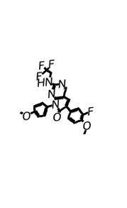 COc1ccc(-n2c(=O)c(-c3ccc(OC)c(F)c3)cc3cnc(NCC(F)(F)F)nc32)cc1